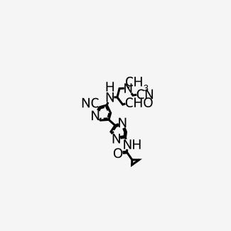 CN(CC#N)CC(CC=O)Nc1cc(-c2cnc(NC(=O)C3CC3)cn2)cnc1C#N